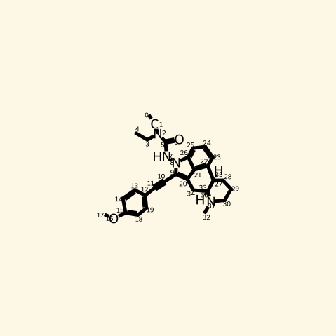 CCN(CC)C(=O)Nn1c(C#Cc2ccc(OC)cc2)c2c3c(cccc31)[C@H]1CCCN(C)[C@@H]1C2